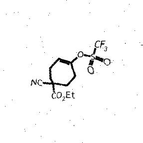 CCOC(=O)C1(C#N)CC=C(OS(=O)(=O)C(F)(F)F)CC1